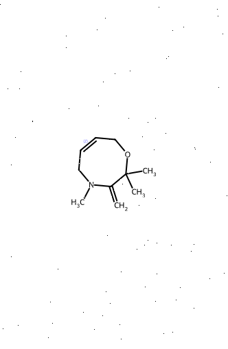 C=C1N(C)C/C=C\COC1(C)C